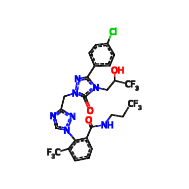 O=C(NCCC(F)(F)F)c1cccc(C(F)(F)F)c1-n1cnc(Cn2nc(-c3ccc(Cl)cc3)n(CC(O)C(F)(F)F)c2=O)n1